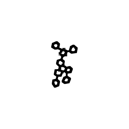 C1=CC(c2nc(-c3ccccc3)nc(-c3ccccc3)n2)=CN2B1N1C=CC(c3ccccc3)=CB1c1c(-c3ccccc3)cccc12